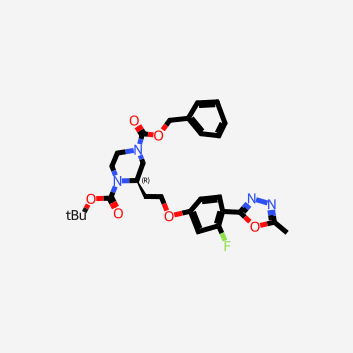 Cc1nnc(-c2ccc(OCC[C@@H]3CN(C(=O)OCc4ccccc4)CCN3C(=O)OC(C)(C)C)cc2F)o1